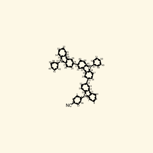 N#Cc1ccc(-n2c3ccccc3c3cc(-c4ccc5c(c4)c4cc(-c6ccc7c(c6)c6ccccc6n7-c6ccccc6)ccc4n5-c4ccccc4)ccc32)cc1